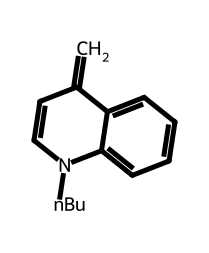 C=C1C=CN(CCCC)c2ccccc21